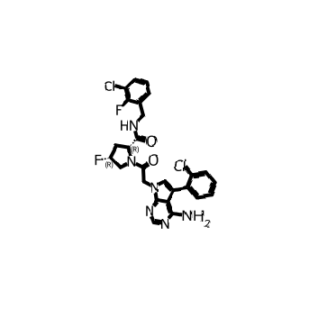 Nc1ncnc2c1c(-c1ccccc1Cl)cn2CC(=O)N1C[C@H](F)C[C@@H]1C(=O)NCc1cccc(Cl)c1F